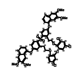 COc1cc2nccc(Oc3ccc(S(=O)(=O)c4ccc(Oc5ccnc6cc(OC)c(OC)cc56)cc4CCOc4ccc(Cl)cc4Cl)c(CCOc4ccc(Cl)cc4Cl)c3)c2cc1OC